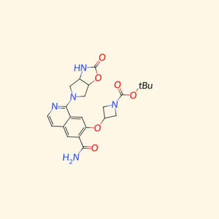 CC(C)(C)OC(=O)N1CC(Oc2cc3c(N4CC5NC(=O)OC5C4)nccc3cc2C(N)=O)C1